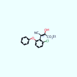 CCOC(=O)/C(O)=C(/C#N)c1c(Cl)cccc1Oc1ccccc1